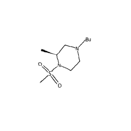 CCC(C)N1CCN(S(C)(=O)=O)[C@@H](C)C1